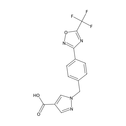 O=C(O)c1cnn(Cc2ccc(-c3noc(C(F)(F)F)n3)cc2)c1